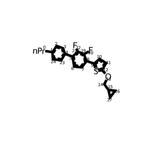 CCCc1ccc(-c2ccc(-c3ccc(OCC4CC4)s3)c(F)c2F)cc1